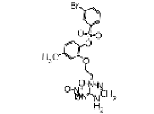 C=N[N+](CCOc1cc(C)ccc1OS(=O)(=O)c1cccc(Br)c1)(O[N+](=O)[O-])C(=N)N